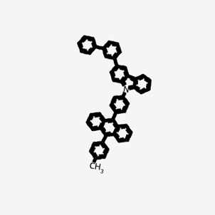 Cc1ccc(-c2c3ccccc3c(-c3ccc(-n4c5ccccc5c5cc(-c6cccc(-c7ccccc7)c6)ccc54)cc3)c3ccccc23)cc1